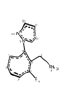 NCc1c(F)cccc1-n1nccn1